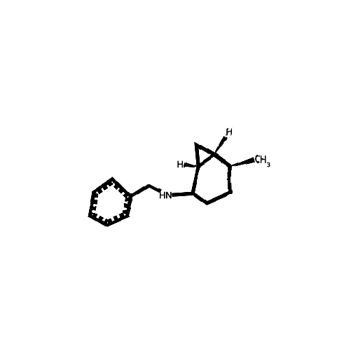 C[C@H]1CCC(NCc2ccccc2)[C@@H]2C[C@H]12